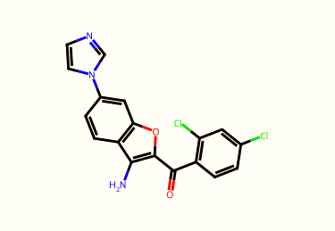 Nc1c(C(=O)c2ccc(Cl)cc2Cl)oc2cc(-n3ccnc3)ccc12